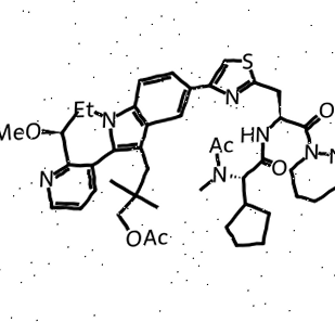 CCn1c(-c2cccnc2[C@H](C)OC)c(CC(C)(C)COC(C)=O)c2cc(-c3csc(C[C@H](NC(=O)[C@H](C4CCCC4)N(C)C(C)=O)C(=O)N4CCCCN4)n3)ccc21